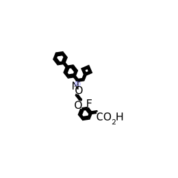 O=C(O)Cc1cccc(OCCO/N=C(\CC2CCC2)c2ccc(-c3ccccc3)cc2)c1F